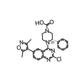 Cc1noc(C)c1-c1ccc2nc(Cl)nc(N3CCN(C(=O)O)C[C@@H]3c3ccccc3)c2c1